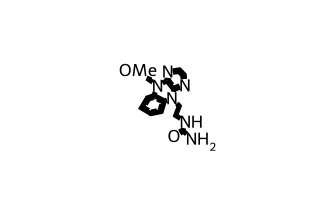 COCN1c2ccccc2N(CCNC(N)=O)c2nccnc21